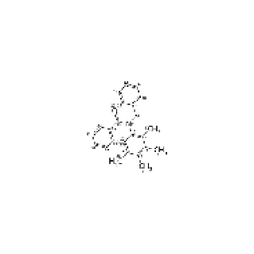 Cc1c(C)c(C)c(N(Cc2ccccc2)C(=O)c2ccccc2)c(I)c1C